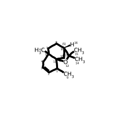 CC1C=CCC2(C)CC[C@H]3CC12OC3(C)C